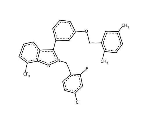 Cc1ccc(C)c(COc2cccc(-c3c4cccc(C(F)(F)F)c4nn3Cc3ccc(Cl)cc3F)c2)c1